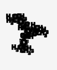 CC(C)(C)C(=O)Nc1cc(NC(=O)C2CCC(C(C)(C)C)CC2)cc(NC(=O)[C@H]2CC[C@@H](C(C)(C)C)CC2)c1